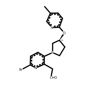 Cc1ccc(O[C@H]2CCN(c3ccc(Br)nc3CC=O)C2)nc1